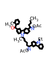 C=CCC/C(=N\OC(C)=O)c1ccc2c(c1)c1cc(C(=O)c3ccccc3C)ccc1n2C(C)/C=C/CC/C(=N\OC(C)=O)c1ccc2c(c1)c1ccccc1n2CC